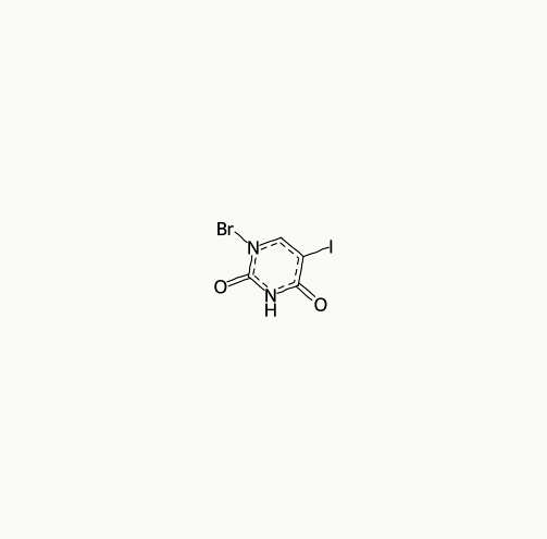 O=c1[nH]c(=O)n(Br)cc1I